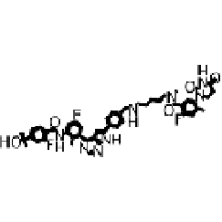 Cc1cc(F)c(C(=O)N(C)CCCCCNCc2ccc(-c3cc4c(-c5cc(F)cc(NC(=O)c6ccc(C(C)(C)O)cc6F)c5C)ncnc4[nH]3)cc2)cc1N1CCC(=O)NC1=O